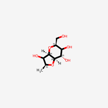 C[C@@H]1O[C@H]2[C@H](O[C@@H](CO)C(O)[C@@H]2O)C1O